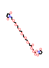 O=C(CCOCCOCCOCCOCCOCCOCCN1C(=O)C=CC1=O)OCOC(=O)ON1C(=O)CCC1=O